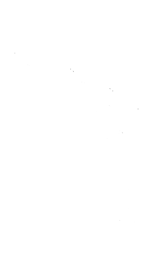 CC(C)(C)[C@H](NC(=O)c1cccc(OC2CC2)c1Cl)C(=O)N1CCC[C@H]1C(=O)N[C@H](C=O)CC(=O)O